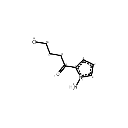 Nn1cccc1C(=O)CCCCl